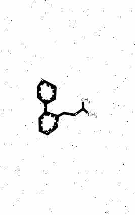 CC(C)CCc1ccccc1-c1ccccc1